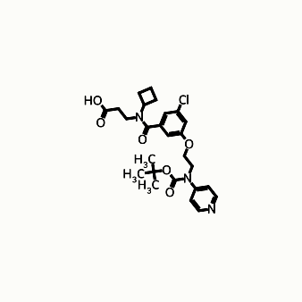 CC(C)(C)OC(=O)N(CCOc1cc(Cl)cc(C(=O)N(CCC(=O)O)C2CCC2)c1)c1ccncc1